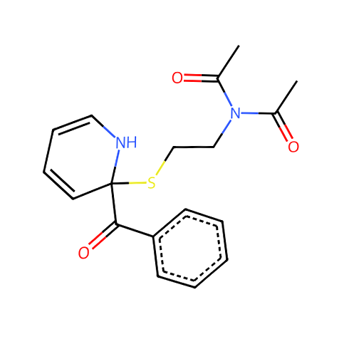 CC(=O)N(CCSC1(C(=O)c2ccccc2)C=CC=CN1)C(C)=O